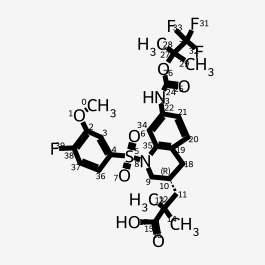 COc1cc(S(=O)(=O)N2C[C@@H](CC(C)(C)C(=O)O)Cc3ccc(NC(=O)OC(C)(C)C(F)(F)F)cc32)ccc1F